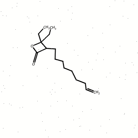 C=CCCCCCCCC1C(=O)OC1(CC)CC